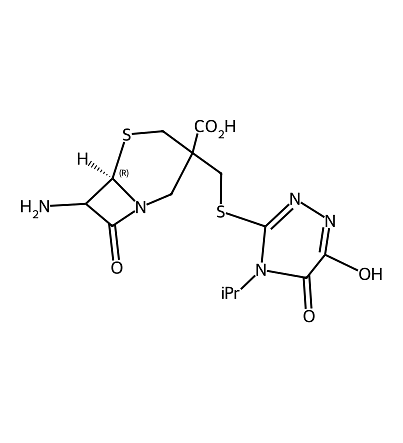 CC(C)n1c(SCC2(C(=O)O)CS[C@@H]3C(N)C(=O)N3C2)nnc(O)c1=O